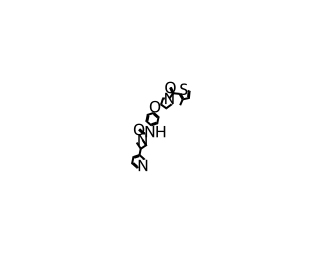 Cc1ccsc1C(=O)N1CCC(Oc2ccc(NC(=O)N3CC(c4cccnc4)C3)cc2)C1